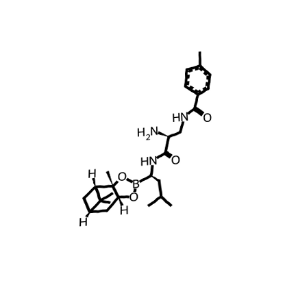 Cc1ccc(C(=O)NC[C@H](N)C(=O)N[C@@H](CC(C)C)B2O[C@@H]3C[C@@H]4C[C@@H](C4(C)C)[C@]3(C)O2)cc1